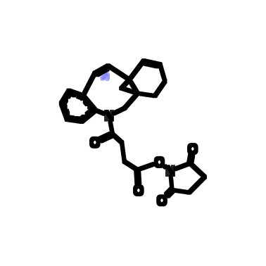 O=C(CCC(=O)N1CC23CCC=CC2(/C=C\c2ccccc21)C3)ON1C(=O)CCC1=O